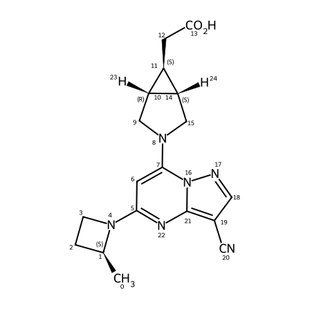 C[C@H]1CCN1c1cc(N2C[C@@H]3[C@@H](CC(=O)O)[C@@H]3C2)n2ncc(C#N)c2n1